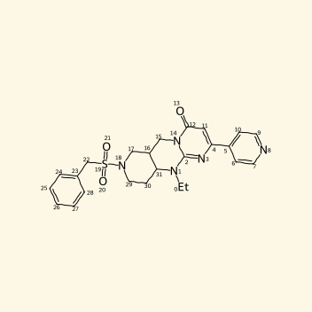 CCN1c2nc(-c3ccncc3)cc(=O)n2CC2CN(S(=O)(=O)Cc3ccccc3)CCC21